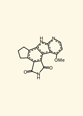 COc1ccnc2[nH]c3c4c(c5c(c3c12)C(=O)NC5=O)CCC4